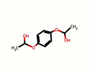 CC(O)Oc1ccc(OC(C)O)cc1